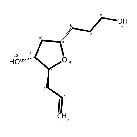 C=CC[C@@H]1O[C@@H](CCCO)C[C@H]1O